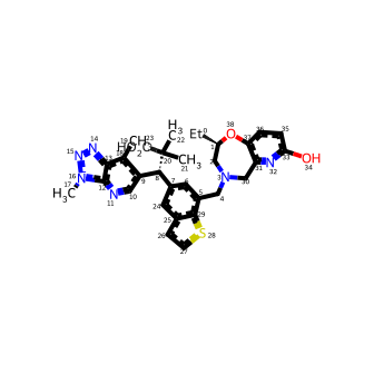 CC[C@@H]1CN(Cc2cc([C@H](c3cnc4c(nnn4C)c3C)C(C)(C)C(=O)O)cc3ccsc23)Cc2nc(O)ccc2O1